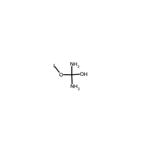 NC(N)(O)OI